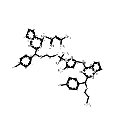 CCCSC(c1ccc(F)cc1)c1nc(Nc2cc(C)n(C(C)(C)OCCOC(c3ccc(F)cc3)c3nc(NC(=N)C=C(C)C)c4cccn4n3)n2)c2cccn2n1